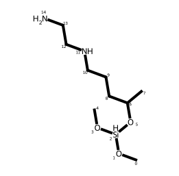 CO[SiH](OC)OC(C)CCCNCCN